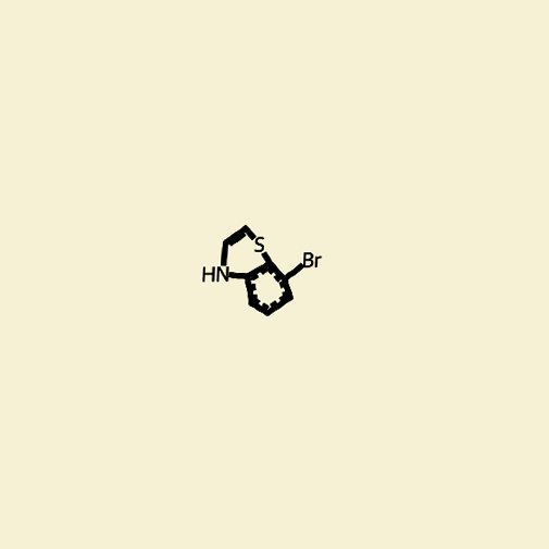 Brc1cccc2c1SC=CN2